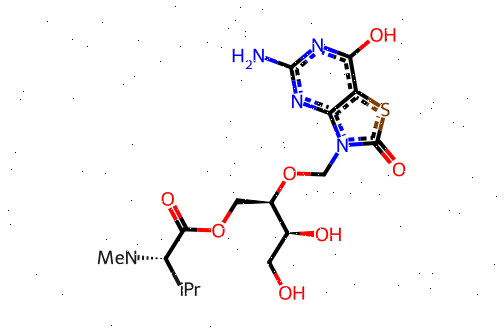 CN[C@H](C(=O)OC[C@@H](OCn1c(=O)sc2c(O)nc(N)nc21)[C@@H](O)CO)C(C)C